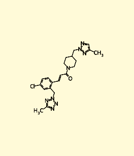 Cc1cnn(CC2CCN(C(=O)C=Cc3ccc(Cl)cc3Cn3nnc(C)n3)CC2)n1